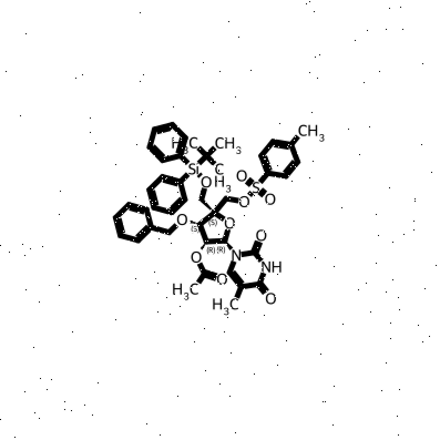 CC(=O)O[C@H]1[C@H](n2cc(C)c(=O)[nH]c2=O)O[C@@](CO[Si](c2ccccc2)(c2ccccc2)C(C)(C)C)(COS(=O)(=O)c2ccc(C)cc2)[C@H]1OCc1ccccc1